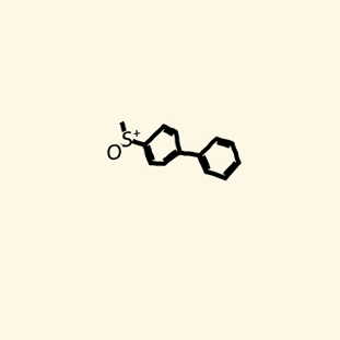 C[S+]([O-])c1ccc(-c2ccccc2)cc1